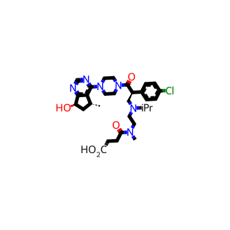 CC(C)N(CCN(C)C(=O)CCC(=O)O)C[C@@H](C(=O)N1CCN(c2ncnc3c2[C@H](C)C[C@H]3O)CC1)c1ccc(Cl)cc1